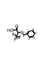 O=C(O)C(SCc1ccccc1)C(F)(F)F